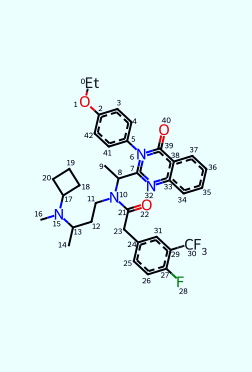 CCOc1ccc(-n2c(C(C)N(CCC(C)N(C)C3CCC3)C(=O)Cc3ccc(F)c(C(F)(F)F)c3)nc3ccccc3c2=O)cc1